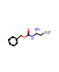 N[C@H](CC(=O)O)NC(=O)OCc1ccccc1